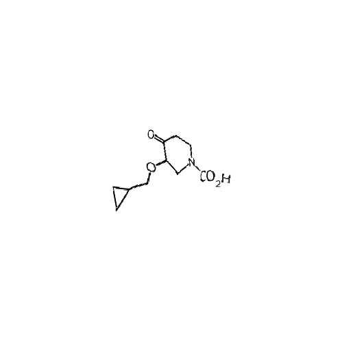 O=C1CCN(C(=O)O)CC1OCC1CC1